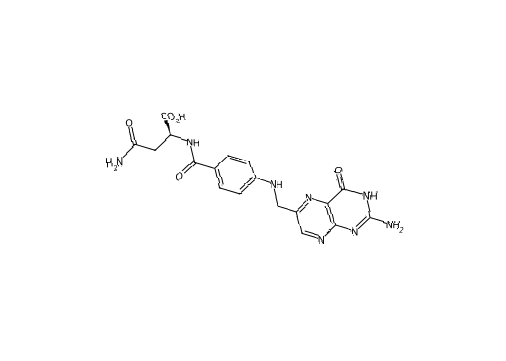 NC(=O)C[C@H](NC(=O)c1ccc(NCc2cnc3nc(N)[nH]c(=O)c3n2)cc1)C(=O)O